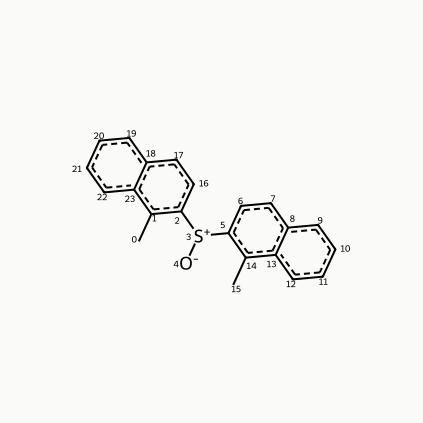 Cc1c([S+]([O-])c2ccc3ccccc3c2C)ccc2ccccc12